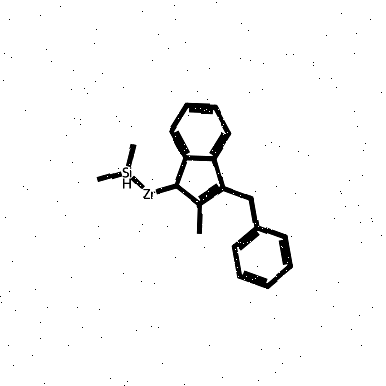 CC1=C(Cc2ccccc2)c2ccccc2[CH]1[Zr][SiH](C)C